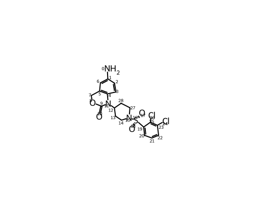 Nc1ccc2c(c1)COC(=O)N2C1CCN(S(=O)(=O)c2cccc(Cl)c2Cl)CC1